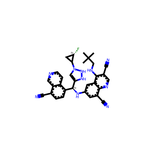 CC(C)(C)CNc1c(C#N)cnc2c(C#N)cc(N[C@H](C3=CN(C4C[C@@H]4F)NN3)c3ccc(C#N)c4cnccc34)cc12